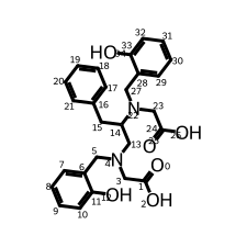 O=C(O)CN(Cc1ccccc1O)CC(Cc1ccccc1)N(CC(=O)O)Cc1ccccc1O